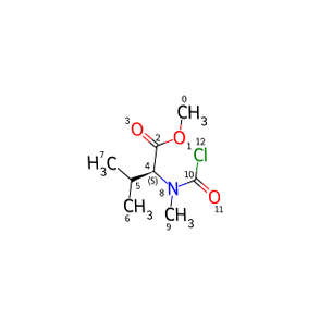 COC(=O)[C@H](C(C)C)N(C)C(=O)Cl